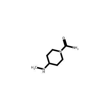 CNC1CCN(C(N)=O)CC1